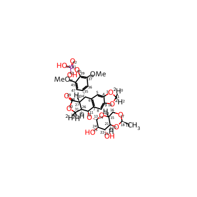 [2H]C1([2H])Oc2cc3c(cc2O1)[C@@H](O[C@@H]1O[C@@H]2CO[C@@H](C)O[C@H]2[C@H](O)[C@H]1O)[C@@H]1[C@H](C(=O)OC1([2H])[2H])[C@@H]3c1cc(OC)c(OP(=O)(O)O)c(OC)c1